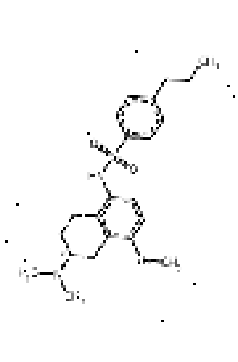 CCCc1ccc(S(=O)(=O)Nc2ccc(OC)c3c2CC[C@H](N(C)C)C3)cc1